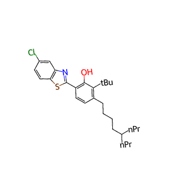 CCCC(CCC)CCCCc1ccc(-c2nc3cc(Cl)ccc3s2)c(O)c1C(C)(C)C